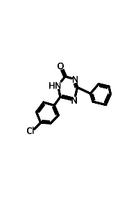 O=c1nc(-c2ccccc2)nc(-c2ccc(Cl)cc2)[nH]1